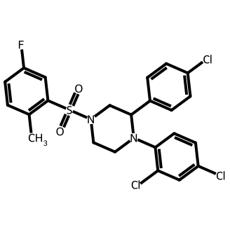 Cc1ccc(F)cc1S(=O)(=O)N1CCN(c2ccc(Cl)cc2Cl)C(c2ccc(Cl)cc2)C1